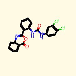 O=C(Nc1ccc(Cl)c(Cl)c1)Nc1ccccc1-c1nc2ccccc2c(=O)o1